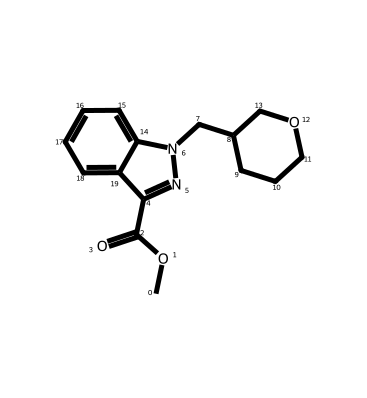 COC(=O)c1nn(CC2CCCOC2)c2ccccc12